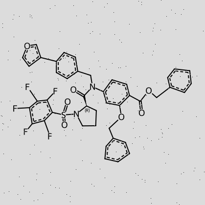 O=C(OCc1ccccc1)c1ccc(N(Cc2ccc(-c3ccoc3)cc2)C(=O)[C@H]2CCCN2S(=O)(=O)c2c(F)c(F)c(F)c(F)c2F)cc1OCc1ccccc1